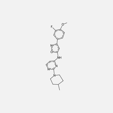 COc1ccc(-c2cc(Nc3ccnc(N4CCC(C)CC4)n3)on2)cc1F